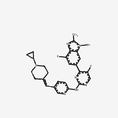 Cc1nc2c(F)cc(-c3nc(Nc4ccc(C=C5CCN(C6CC6)CC5)cn4)ncc3F)cc2n1C(C)C